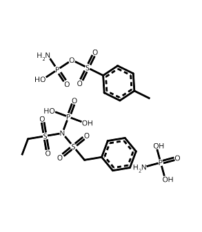 CCS(=O)(=O)N(P(=O)(O)O)S(=O)(=O)Cc1ccccc1.Cc1ccc(S(=O)(=O)OP(N)(=O)O)cc1.NP(=O)(O)O